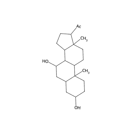 CC(=O)C1CCC2C3C(O)CC4CC(O)CCC4(C)C3CCC12C